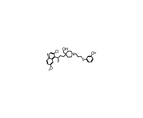 COc1cccc(SCCCN2CCC(CO)(CC[C@@H](F)c3c(Cl)cnc4ccc(OC)cc34)CC2)c1